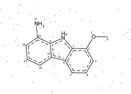 COc1cccc2c1[nH]c1c(N)cccc12